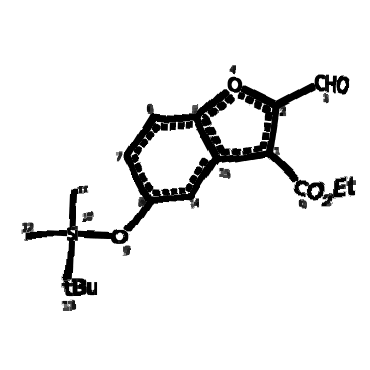 CCOC(=O)c1c(C=O)oc2ccc(O[Si](C)(C)C(C)(C)C)cc12